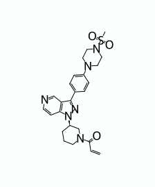 C=CC(=O)N1CCC[C@@H](n2nc(-c3ccc(N4CCN(S(C)(=O)=O)CC4)cc3)c3cnccc32)C1